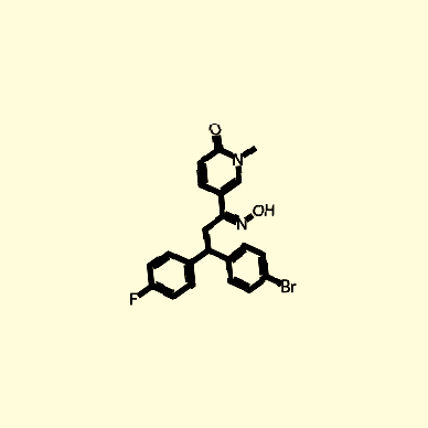 Cn1cc(C(CC(c2ccc(F)cc2)c2ccc(Br)cc2)=NO)ccc1=O